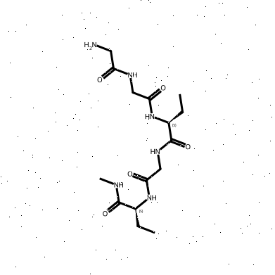 CC[C@H](NC(=O)CNC(=O)[C@H](CC)NC(=O)CNC(=O)CN)C(=O)NC